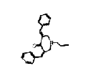 C=CCN1CC(=Cc2ccccc2)C(=O)C(=Cc2ccccc2)C1